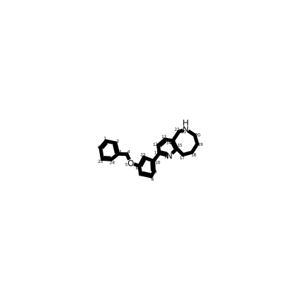 c1ccc(COc2cccc(-c3ccc4c(n3)CCCCNC4)c2)cc1